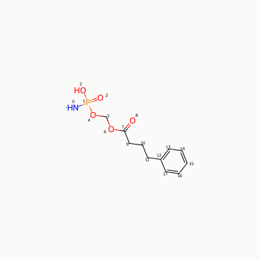 [NH]P(=O)(O)OCOC(=O)CCCc1ccccc1